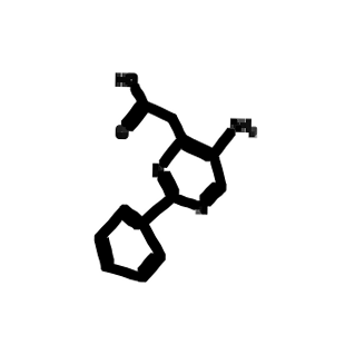 Nc1cnc(-c2ccccc2)nc1CC(=O)O